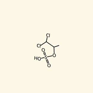 CC(OS(=O)(=O)O)C(Cl)Cl